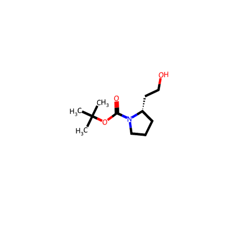 CC(C)(C)OC(=O)N1CCC[C@H]1CCO